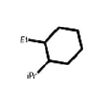 CCC1CCCC[C]1C(C)C